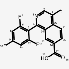 Cc1cnc(-c2c(F)cc(F)cc2F)c2cc(C(=O)O)ccc12